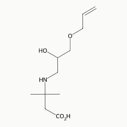 C=CCOCC(O)CNC(C)(C)CC(=O)O